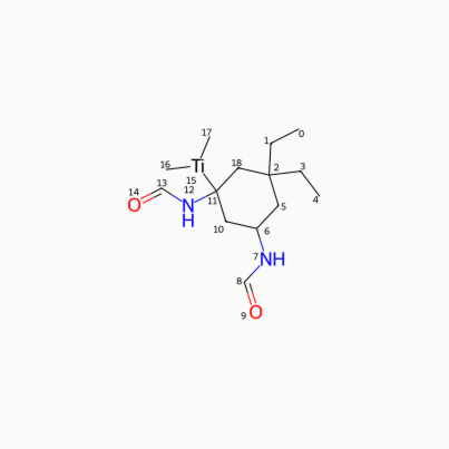 CCC1(CC)CC(NC=O)C[C](NC=O)([Ti]([CH3])[CH3])C1